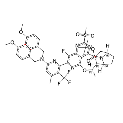 COc1ccc(CN(Cc2ccc(OC)cc2)c2cc(C)c(C(F)(F)F)c(-c3nc4c5c(nc(S(C)(=O)=O)nc5c3F)N3C[C@H]5CC[C@@H]([C@H]3[C@H](C)O4)N5C(=O)OC(C)(C)C)n2)cc1